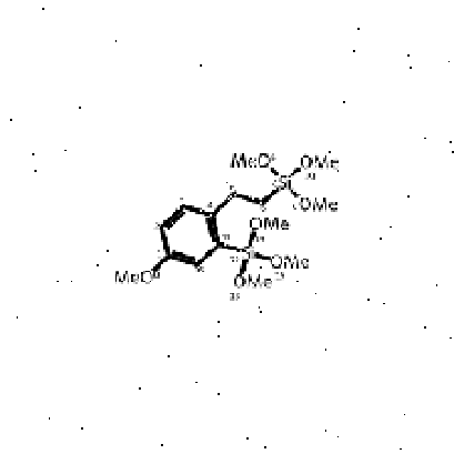 COc1ccc(CC[Si](OC)(OC)OC)c([Si](OC)(OC)OC)c1